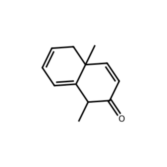 CC1C(=O)C=CC2(C)CC=CC=C12